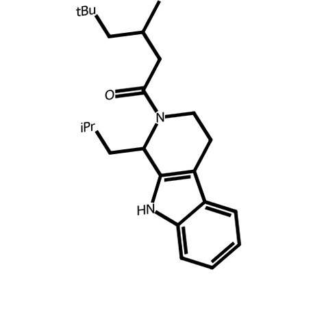 CC(C)CC1c2[nH]c3ccccc3c2CCN1C(=O)CC(C)CC(C)(C)C